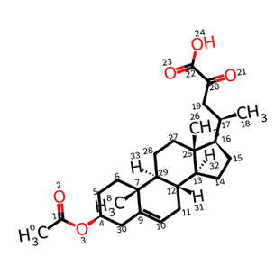 CC(=O)O[C@H]1CC[C@@]2(C)C(=CC[C@H]3[C@@H]4CC[C@H]([C@H](C)CC(=O)C(=O)O)[C@@]4(C)CC[C@@H]32)C1